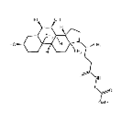 CC[C@@H]1C2C[C@H](O)CCC2(C)[C@H]2CCC3(C)C([C@H](C)CCC(=O)NCC(=O)OC)CC[C@H]3[C@@H]2[C@@H]1O